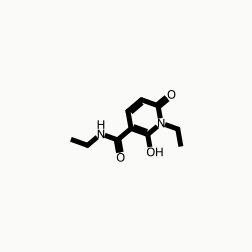 CCNC(=O)c1ccc(=O)n(CC)c1O